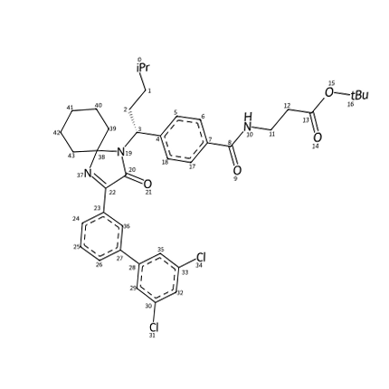 CC(C)CC[C@H](c1ccc(C(=O)NCCC(=O)OC(C)(C)C)cc1)N1C(=O)C(c2cccc(-c3cc(Cl)cc(Cl)c3)c2)=NC12CCCCC2